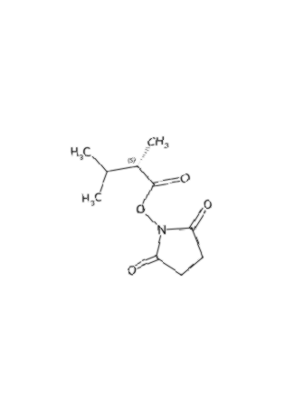 CC(C)[C@H](C)C(=O)ON1C(=O)CCC1=O